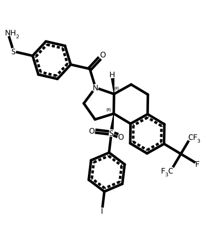 NSc1ccc(C(=O)N2CC[C@@]3(S(=O)(=O)c4ccc(I)cc4)c4ccc(C(F)(C(F)(F)F)C(F)(F)F)cc4CC[C@@H]23)cc1